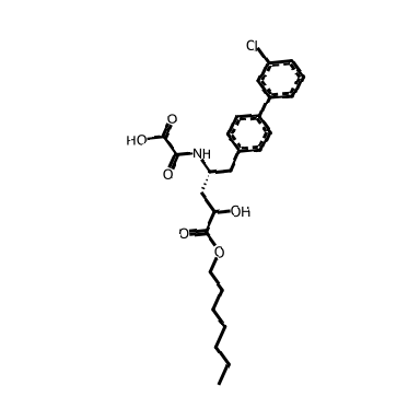 CCCCCCCOC(=O)C(O)C[C@@H](Cc1ccc(-c2cccc(Cl)c2)cc1)NC(=O)C(=O)O